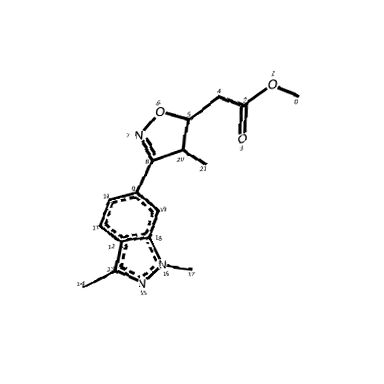 COC(=O)CC1ON=C(c2ccc3c(C)nn(C)c3c2)C1C